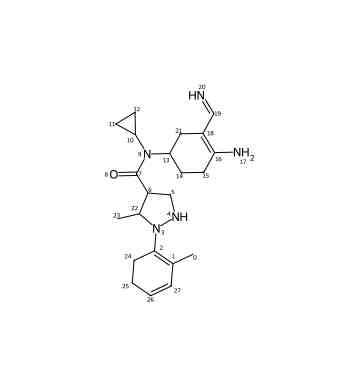 CC1=C(N2NCC(C(=O)N(C3CC3)C3CCC(N)=C(C=N)C3)C2C)CCC=C1